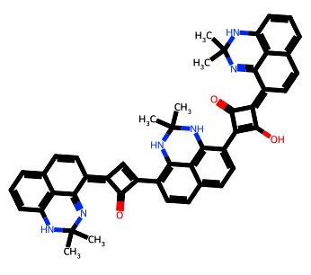 CC1(C)N=c2/c(=C3/C=C(c4ccc5ccc(C6=C(O)/C(=c7\ccc8cccc9c8c7=NC(C)(C)N9)C6=O)c6c5c4NC(C)(C)N6)C3=O)ccc3cccc(c23)N1